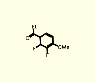 CCC(=O)C1C=CC(OC)=C(F)C1F